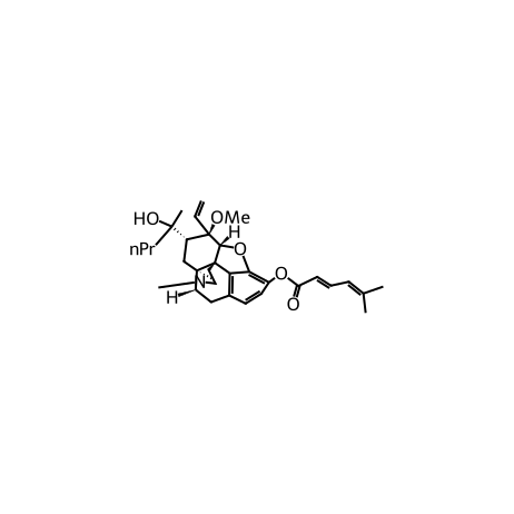 C=C[C@@]1(OC)[C@@H](C(C)(O)CCC)C[C@]2(C)[C@H]3Cc4ccc(OC(=O)/C=C/C=C(C)C)c5c4[C@@]2(CCN3C)[C@H]1O5